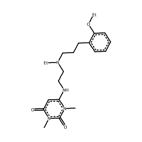 CCOc1ccccc1CCCN(CC)CCNc1cc(=O)n(C)c(=O)n1C